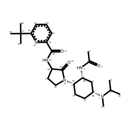 CC(=O)N[C@@H]1C[C@H](N(C)C(C)C)CC[C@@H]1N1CCC(NC(=O)c2cccc(C(C)(C)C)n2)C1=O